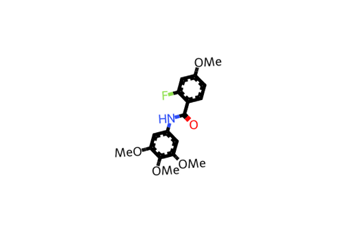 COc1ccc(C(=O)Nc2cc(OC)c(OC)c(OC)c2)c(F)c1